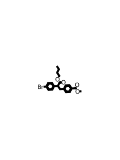 CCCCOC(=O)C(Cc1ccc(C(=O)OC)cc1)c1ccc(Br)cc1